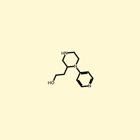 OCCC1CNCCN1c1ccncc1